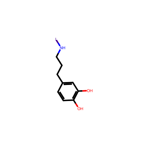 Oc1ccc(CCCNI)cc1O